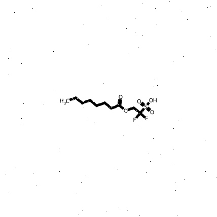 CCCCCCCC(=O)OCC(F)(F)S(=O)(=O)O